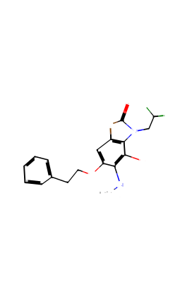 CCCCCCNc1c(OCCc2ccccc2)cc2sc(=O)n(CC(F)F)c2c1O.Cl